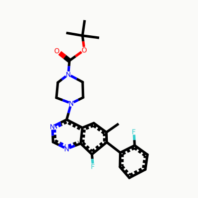 Cc1cc2c(N3CCN(C(=O)OC(C)(C)C)CC3)ncnc2c(F)c1-c1ccccc1F